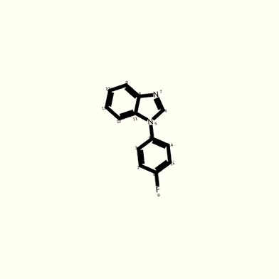 Fc1ccc(-n2cnc3c[c]ccc32)cc1